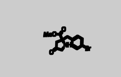 COC(=O)C1(Cc2ccc(Br)cc2)CC(=O)CN1